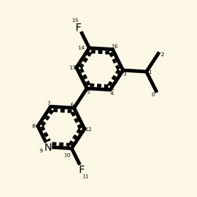 CC(C)c1[c]c(-c2ccnc(F)c2)cc(F)c1